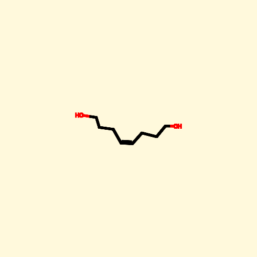 OCCC/C=C\CCCO